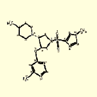 CC1CCN([C@@H]2CN(S(=O)(=O)c3cn(C)cn3)C[C@H]2Oc2cc(C(F)(F)F)ncn2)CC1